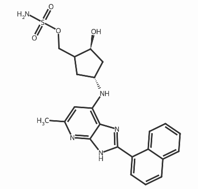 Cc1cc(N[C@@H]2CC(COS(N)(=O)=O)[C@@H](O)C2)c2nc(-c3cccc4ccccc34)[nH]c2n1